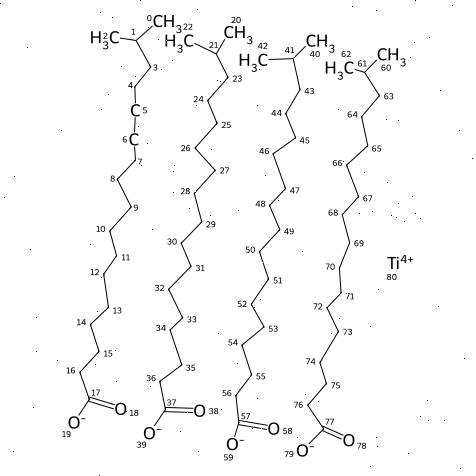 CC(C)CCCCCCCCCCCCCCC(=O)[O-].CC(C)CCCCCCCCCCCCCCC(=O)[O-].CC(C)CCCCCCCCCCCCCCC(=O)[O-].CC(C)CCCCCCCCCCCCCCC(=O)[O-].[Ti+4]